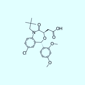 COc1ccc([C@H]2O[C@H](CC(=O)O)C(=O)N(CC(C)(C)C)c3ccc(Cl)cc32)c(OC)c1